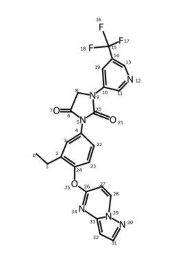 CCc1cc(N2C(=O)CN(c3cncc(C(F)(F)F)c3)C2=O)ccc1Oc1ccn2nccc2n1